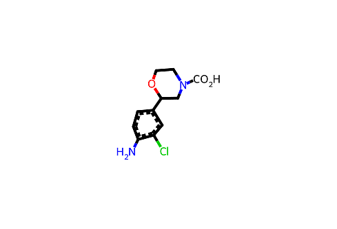 Nc1ccc(C2CN(C(=O)O)CCO2)cc1Cl